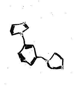 c1cc(-n2ccnc2)cc(-n2ccnc2)c1